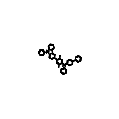 Cc1cc(N(c2ccccc2)c2ccc(-c3ccccc3)cc2)c(C)cc1-c1ccc2c(c1)c1ccccc1n2-c1ccccc1